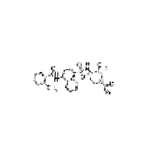 CCCC(=O)N1CC[C@@H](NS(=O)(=O)c2ccc(NC(=O)c3ccccc3C)c3ccccc23)C(C)C1